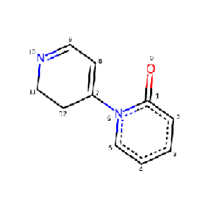 O=c1ccccn1C1=CC=NCC1